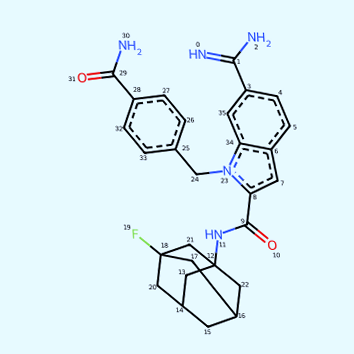 N=C(N)c1ccc2cc(C(=O)NC34CC5CC(CC(F)(C5)C3)C4)n(Cc3ccc(C(N)=O)cc3)c2c1